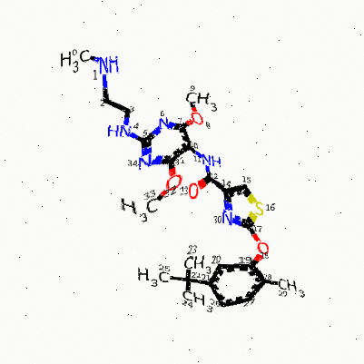 CNCCNc1nc(OC)c(NC(=O)c2csc(Oc3cc(C(C)(C)C)ccc3C)n2)c(OC)n1